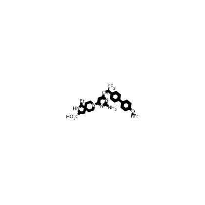 CCCOc1ccc(-c2ccc([C@@H](Oc3cc(N4CCC5(CC4)CC(C(=O)O)NC5CC)nc(N)n3)C(F)(F)F)cc2)cc1